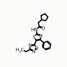 CCc1noc(-c2sc(NC(=O)CC3CCCC3)nc2-c2ccccc2)n1